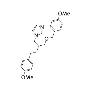 COc1ccc(CCC(COCc2ccc(OC)cc2)Cn2ccnc2)cc1